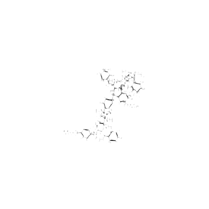 COc1ccc(N(C)C(=O)[C@H](Cc2ccccc2)NC(=O)NS(=O)(=O)Nc2ccc(Cc3cc(OC)ccc3N(C)C(=O)C(Cc3ccccc3)NC(=O)NS(=O)(=O)N(C)c3cccc(C)c3)cc2)cc1